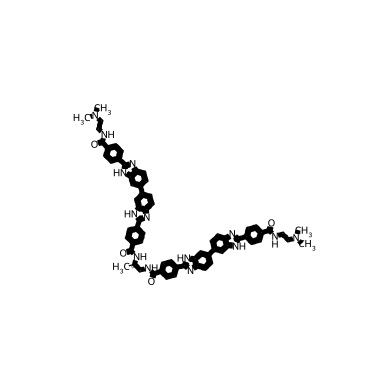 C[C@@H](CNC(=O)c1ccc(-c2nc3ccc(-c4ccc5nc(-c6ccc(C(=O)NCCN(C)C)cc6)[nH]c5c4)cc3[nH]2)cc1)NC(=O)c1ccc(-c2nc3ccc(-c4ccc5nc(-c6ccc(C(=O)NCCN(C)C)cc6)[nH]c5c4)cc3[nH]2)cc1